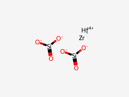 O=[Si]([O-])[O-].O=[Si]([O-])[O-].[Hf+4].[Zr]